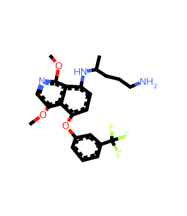 COc1cnc(OC)c2c(NC(C)CCCN)ccc(Oc3cccc(C(F)(F)F)c3)c12